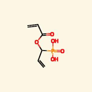 C=CC(=O)OC(C=C)P(=O)(O)O